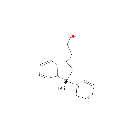 CC(C)(C)[Si](CCCCO)(c1ccccc1)c1ccccc1